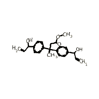 C=CC(O)c1ccc(C(C)(CC(=O)OC)c2ccc(C(O)C=C)cc2)cc1